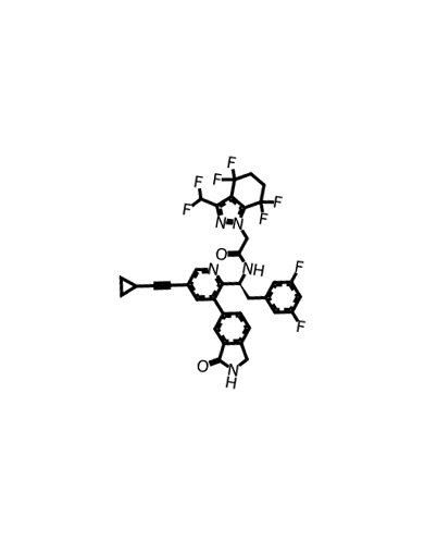 O=C(Cn1nc(C(F)F)c2c1C(F)(F)CCC2(F)F)N[C@@H](Cc1cc(F)cc(F)c1)c1ncc(C#CC2CC2)cc1-c1ccc2c(c1)C(=O)NC2